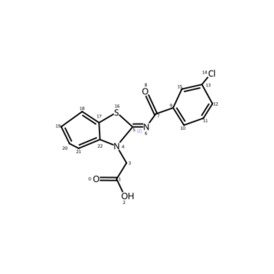 O=C(O)Cn1/c(=N/C(=O)c2cccc(Cl)c2)sc2ccccc21